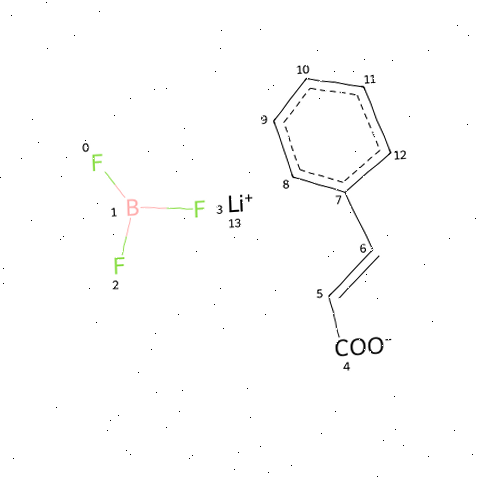 FB(F)F.O=C([O-])C=Cc1ccccc1.[Li+]